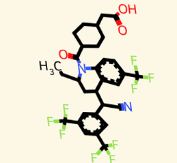 CCC1CC(C(C#N)c2cc(C(F)(F)F)cc(C(F)(F)F)c2)c2cc(C(F)(F)F)ccc2N1C(=O)C1CCC(CC(=O)O)CC1